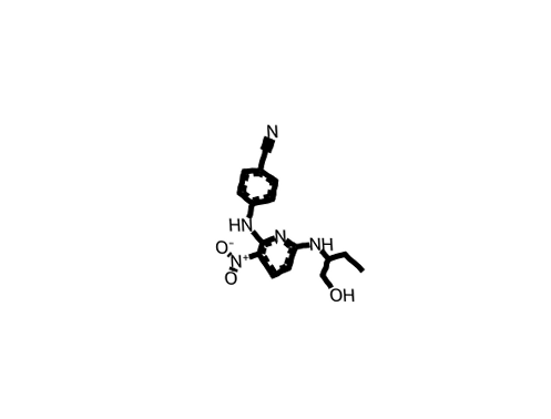 CCC(CO)Nc1ccc([N+](=O)[O-])c(Nc2ccc(C#N)cc2)n1